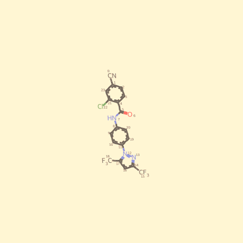 N#Cc1ccc(C(=O)Nc2ccc(-n3nc(C(F)(F)F)cc3C(F)(F)F)cc2)c(Cl)c1